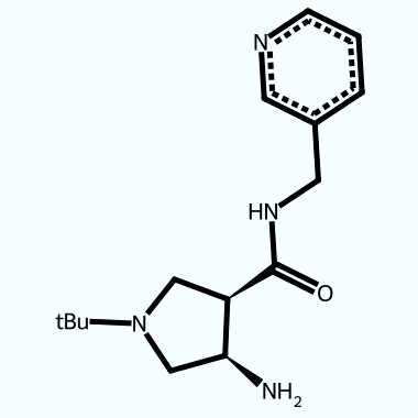 CC(C)(C)N1C[C@H](N)[C@H](C(=O)NCc2cccnc2)C1